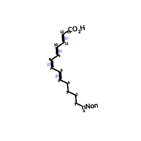 CCCCCCCCCCCCC/C=C/C=C\C=C\C=C\C(=O)O